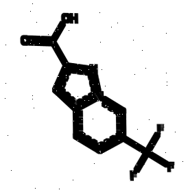 O=C(O)c1cc2ccc(C(F)(F)F)cn2n1